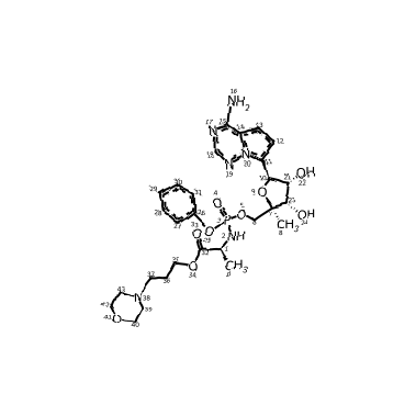 C[C@H](NP(=O)(OC[C@@]1(C)O[C@@H](c2ccc3c(N)ncnn23)[C@H](O)[C@@H]1O)Oc1ccccc1)C(=O)OCCCN1CCOCC1